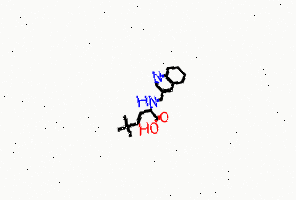 CC(C)(C)CCC(NCc1cnc2c(c1)CCCC2)C(=O)O